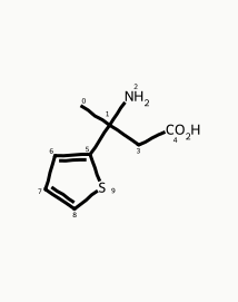 CC(N)(CC(=O)O)c1cccs1